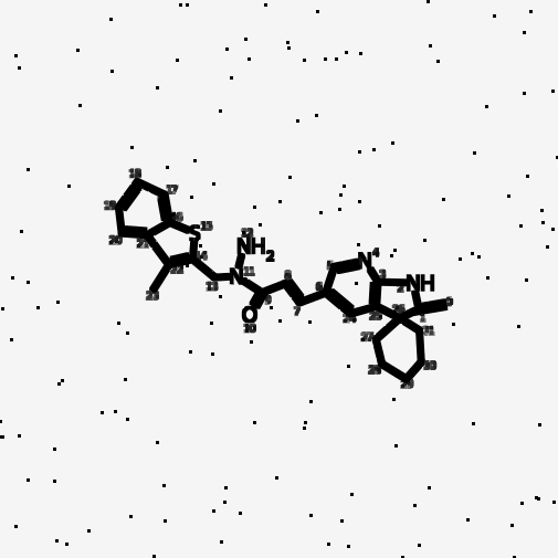 C=C1Nc2ncc(/C=C/C(=O)N(N)Cc3sc4ccccc4c3C)cc2C12CCCCC2